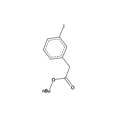 CCCCOC(=O)Cc1cccc(I)c1